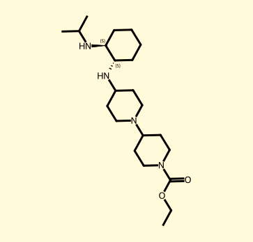 CCOC(=O)N1CCC(N2CCC(N[C@H]3CCCC[C@@H]3NC(C)C)CC2)CC1